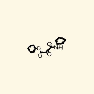 O=C(Nc1ccccc1)C1OC1C(=O)Oc1ccccc1